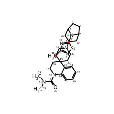 Cc1nsc(N2C3CCC2CC(N2CCC4(CCN(C(=O)N(C)C)c5ccccc54)CC2)C3)n1